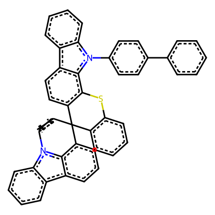 c1ccc(-c2ccc(-n3c4ccccc4c4ccc5c(c43)Sc3ccccc3C53c4ccccc4-n4c5ccccc5c5cccc3c54)cc2)cc1